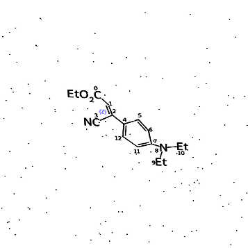 CCOC(=O)/C=C(\C#N)c1ccc(N(CC)CC)cc1